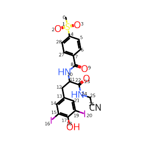 CS(=O)(=O)c1ccc(C(=O)NC(Cc2cc(I)c(O)c(I)c2)C(=O)NCC#N)cc1